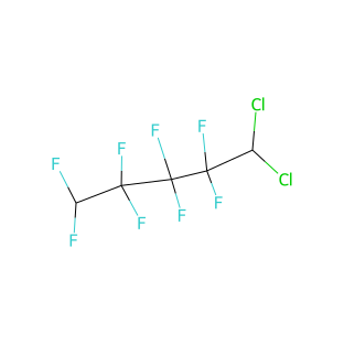 FC(F)C(F)(F)C(F)(F)C(F)(F)C(Cl)Cl